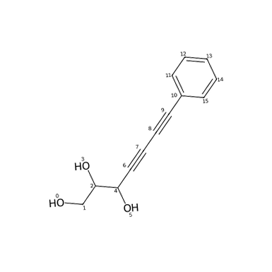 OCC(O)C(O)C#CC#Cc1ccccc1